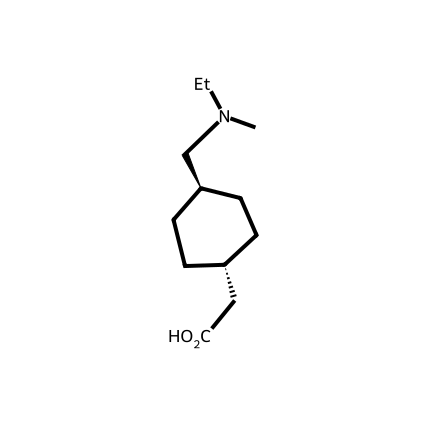 CCN(C)C[C@H]1CC[C@H](CC(=O)O)CC1